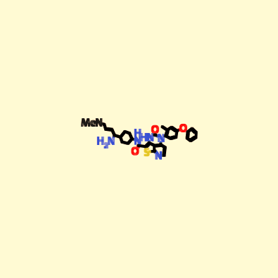 CNC/C=C/C(N)C1CCC(NC(=O)c2sc3nccc4c3c2NC(=O)N4c2ccc(Oc3ccccc3)cc2C)CC1